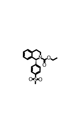 CCOC(=O)N1CCc2ccccc2[C@@H]1c1ccc(S(C)(=O)=O)cc1